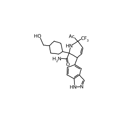 CC(=O)C1(C(F)(F)F)C=CC(c2ccc3[nH]ncc3c2)C(C(N)=O)(C2CCC(CO)CC2)N1